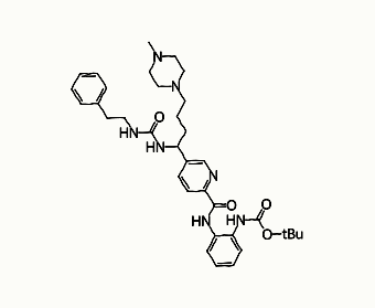 CN1CCN(CCCC(NC(=O)NCCc2ccccc2)c2ccc(C(=O)Nc3ccccc3NC(=O)OC(C)(C)C)nc2)CC1